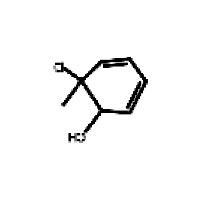 CC1(Cl)C=CC=CC1O